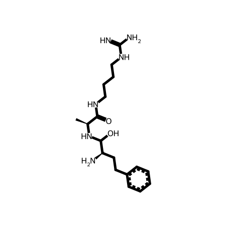 C[C@H](NC(O)[C@H](N)CCc1ccccc1)C(=O)NCCCCNC(=N)N